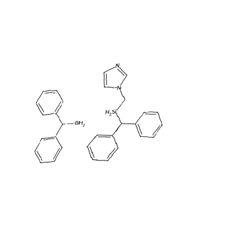 BC(c1ccccc1)c1ccccc1.c1ccc(C([SiH2]Cn2ccnc2)c2ccccc2)cc1